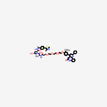 COc1cc(-c2cc(-c3ccccc3)nc3c2CC(=O)Nc2ccccc2-3)ccc1OCCOCCOCCOCCC(=O)N[C@H](C(=O)N1C[C@H](O)C[C@H]1C(=O)N[C@@H](C)c1ccc(-c2scnc2C)cc1)C(C)(C)C